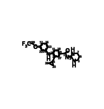 O=C(N=C1NCCCN1)c1ccc(Nc2cccc(OCC(F)(F)F)c2)c(C2CC2)c1